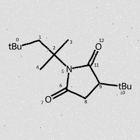 CC(C)(C)CC(C)(C)N1C(=O)CC(C(C)(C)C)C1=O